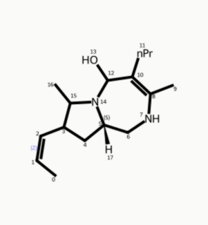 C/C=C\C1C[C@H]2CNC(C)=C(CCC)C(O)N2C1C